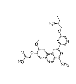 CC[C@H](N)COc1cncc(-c2cc3c(cnc4cc(OCC(=O)O)c(OC)cc43)c(N)n2)c1